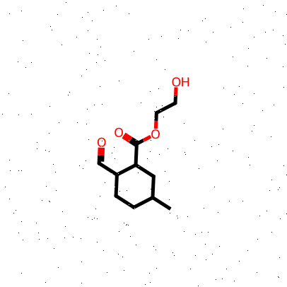 CC1CCC(C=O)C(C(=O)OCCO)C1